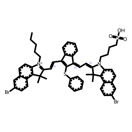 CCCCC[N+]1=C(/C=C/C2=C(Sc3ccccc3)C(=C/C=C3/N(CCCCS(=O)(=O)O)c4ccc5cc(Br)ccc5c4C3(C)C)/c3ccccc32)C(C)(C)c2c1ccc1cc(Br)ccc21